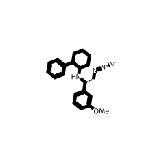 COc1cccc([C@@H](CN=[N+]=[N-])NC2CCCCC2c2ccccc2)c1